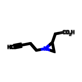 C#CCCN1CC1CC(=O)O